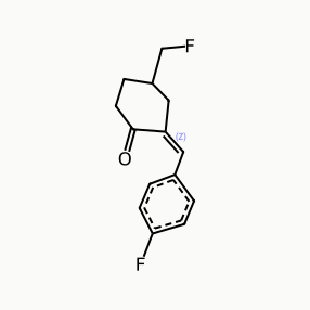 O=C1CCC(CF)C/C1=C/c1ccc(F)cc1